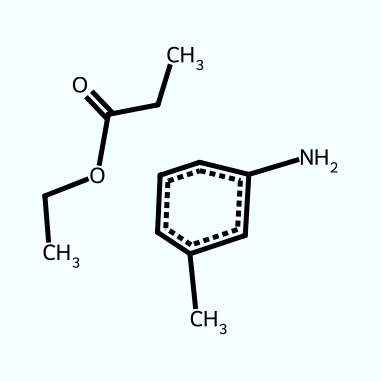 CCOC(=O)CC.Cc1cccc(N)c1